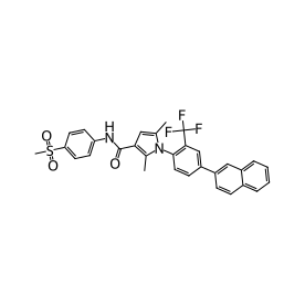 Cc1cc(C(=O)Nc2ccc(S(C)(=O)=O)cc2)c(C)n1-c1ccc(-c2ccc3ccccc3c2)cc1C(F)(F)F